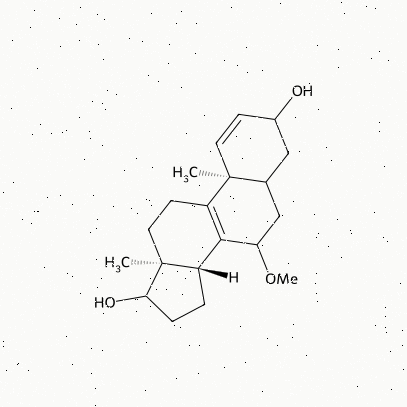 COC1CC2CC(O)C=C[C@]2(C)C2=C1[C@@H]1CCC(O)[C@@]1(C)CC2